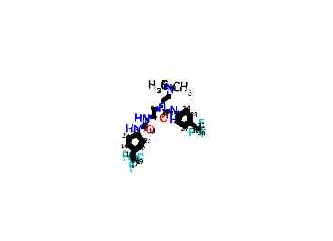 CN(C)CCN(CCNC(=O)Nc1ccc(C(F)(F)F)cc1)C(=O)Nc1ccc(C(F)(F)F)cc1